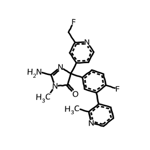 Cc1ncccc1-c1cc(C2(c3ccnc(CF)c3)N=C(N)N(C)C2=O)ccc1F